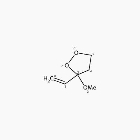 C=CC1(OC)CCOO1